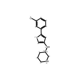 Clc1cccc(-c2cc(N[C@@H]3CCCNC3)cs2)c1